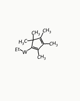 C[CH2][W][C]1=C(C)C(C)=C(C)C1(C)C